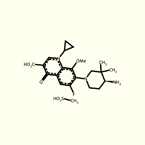 COc1c(N2CC[C@H](N)C(C)(C)C2)c(F)cc2c(=O)c(C(=O)O)cn(C3CC3)c12.CS(=O)(=O)O